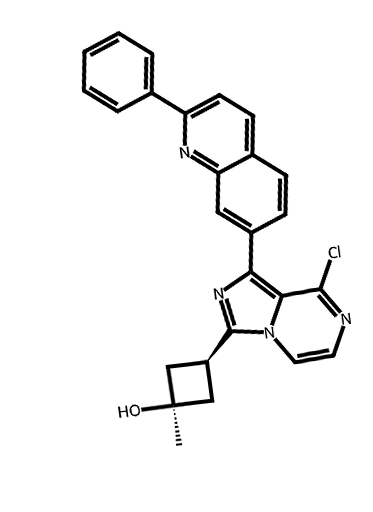 C[C@]1(O)C[C@@H](c2nc(-c3ccc4ccc(-c5ccccc5)nc4c3)c3c(Cl)nccn32)C1